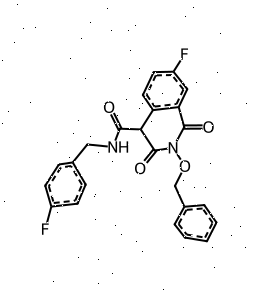 O=C(NCc1ccc(F)cc1)C1C(=O)N(OCc2ccccc2)C(=O)c2cc(F)ccc21